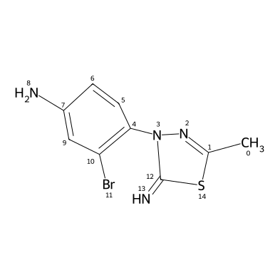 Cc1nn(-c2ccc(N)cc2Br)c(=N)s1